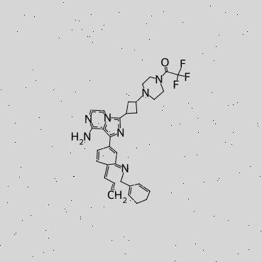 C=C/C=C1/C=CC(c2nc(C3CC(N4CCN(C(=O)C(F)(F)F)CC4)C3)n3ccnc(N)c23)=C/C1=N/CC1=CCCC=C1